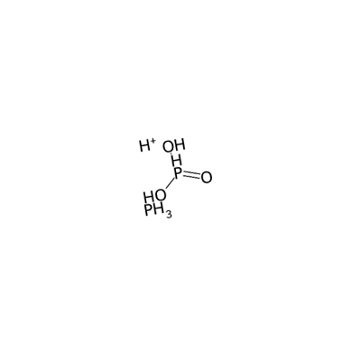 O=[PH](O)O.P.[H+]